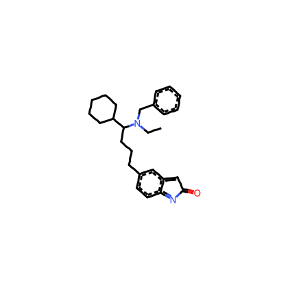 CCN(Cc1ccccc1)C(CCCc1ccc2c(c1)=CC(=O)N=2)C1CCCCC1